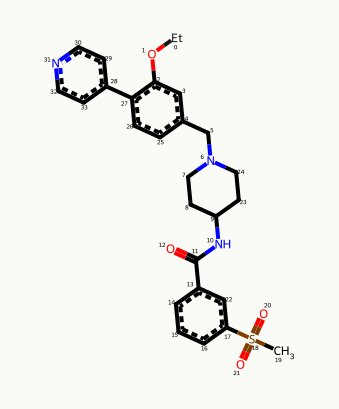 CCOc1cc(CN2CCC(NC(=O)c3cccc(S(C)(=O)=O)c3)CC2)ccc1-c1ccncc1